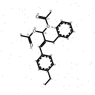 CCc1ccc(/C=C(\Cc2ccccc2)C(OC(C)=O)OC(C)=O)cc1